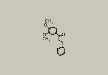 COc1ccc(C(=O)CCc2ccccc2)cc1OC